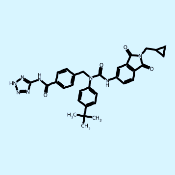 CC(C)(C)c1ccc(N(Cc2ccc(C(=O)Nc3nn[nH]n3)cc2)C(=O)Nc2ccc3c(c2)C(=O)N(CC2CC2)C3=O)cc1